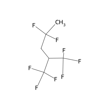 CC(F)(F)CC(C(F)(F)F)C(F)(F)F